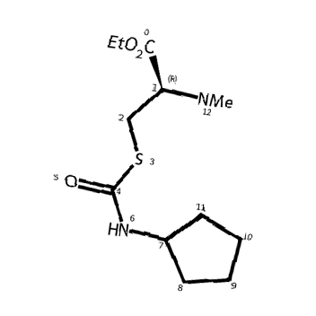 CCOC(=O)[C@H](CSC(=O)NC1CCCC1)NC